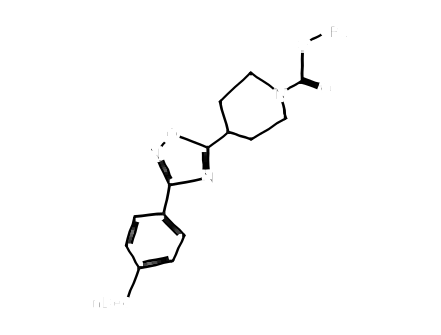 CCCCCCCCCCc1ccc(-c2noc(C3CCN(C(=O)OC(C)(C)C)CC3)n2)cc1